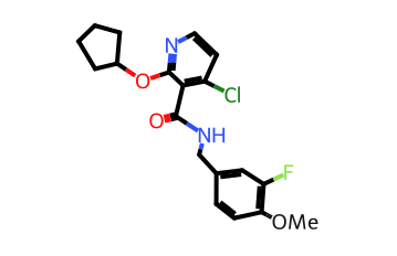 COc1ccc(CNC(=O)c2c(Cl)ccnc2OC2CCCC2)cc1F